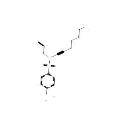 C=CCN(C#CCCCCCl)S(=O)(=O)c1ccc(OC)cc1